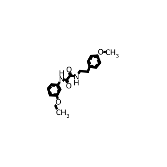 CCOc1cccc(NC(=O)C(=O)NCCc2ccc(OC)cc2)c1